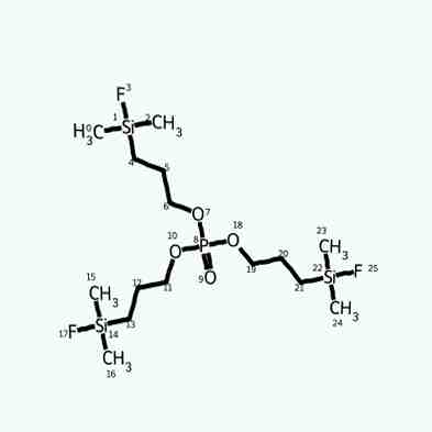 C[Si](C)(F)CCCOP(=O)(OCCC[Si](C)(C)F)OCCC[Si](C)(C)F